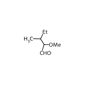 CCC(C)C([C]=O)OC